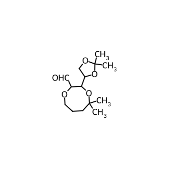 CC1(C)CCCOC(C=O)C(C2COC(C)(C)O2)O1